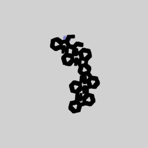 C=CC1=c2/c(=C\C)c3ccccc3n2-c2cccc3c2B1c1cccc2c4cc5c6cccc7c6n(c5cc4n-3c12)-c1cccc2c1B7c1cccc3c4ccccc4n-2c13